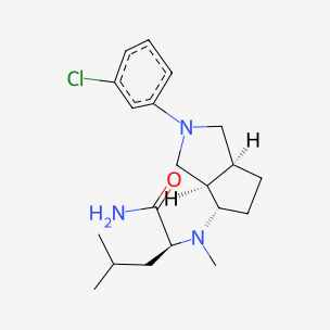 CC(C)C[C@@H](C(N)=O)N(C)[C@H]1CC[C@@H]2CN(c3cccc(Cl)c3)C[C@@H]21